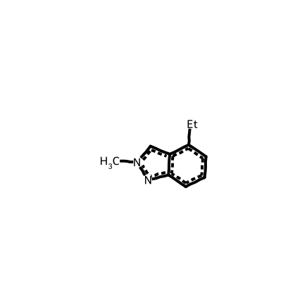 CCc1cccc2nn(C)cc12